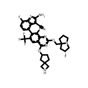 N#Cc1c(N)sc2c(F)ccc(-c3c(C(F)(F)F)cc4c(OC5CCC6(CNC6)C5)nc(OCC56CCCN5C[C@H](F)C6)nc4c3F)c12